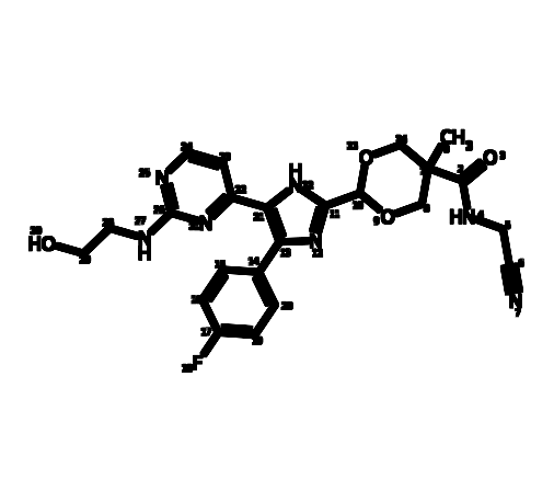 CC1(C(=O)NCC#N)COC(c2nc(-c3ccc(F)cc3)c(-c3ccnc(NCCO)n3)[nH]2)OC1